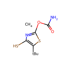 C.CC(C)(C)c1sc(OC(N)=O)nc1S